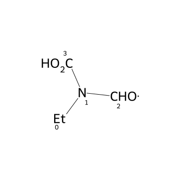 CCN([C]=O)C(=O)O